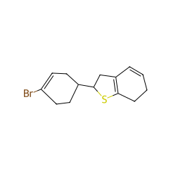 BrC1=CCC(C2CC3=C(CCC=C3)S2)CC1